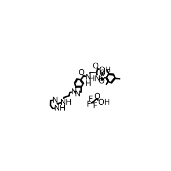 Cc1cc(C)c(S(=O)(=O)N[C@@H](CNC(=O)c2ccc3c(cnn3CCCNC3=NCCCN3)c2)C(=O)O)c(C)c1.O=C(O)C(F)(F)F